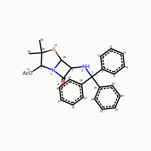 CC(=O)OC1N2C(=O)C(NC(c3ccccc3)(c3ccccc3)c3ccccc3)C2SC1(C)C